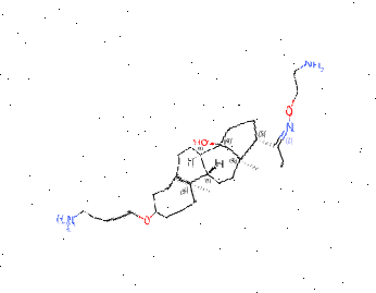 C/C(=N/OCCN)[C@H]1CC[C@@]2(O)[C@@H]3CCC4CC(OCCCN)CC[C@]4(C)[C@H]3CC[C@]12C